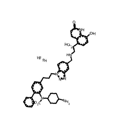 F.F.NC1CCC(N(C(=O)O)c2cc(CCCn3nnc4cc(CNC[C@H](O)c5ccc(O)c6[nH]c(=O)ccc56)ccc43)ccc2-c2ccccc2)CC1